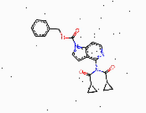 O=C(C1CC1)N(C(=O)C1CC1)c1nccc2c1ccn2C(=O)OCc1ccccc1